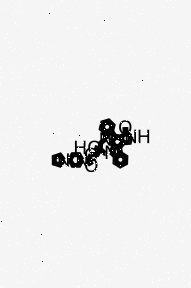 O=C1NCc2c1c1c3ccccc3n3c1c1c2c2ccccc2n1CC(O)(COC(=O)N1CCC(N2CCCC2)CC1)C3